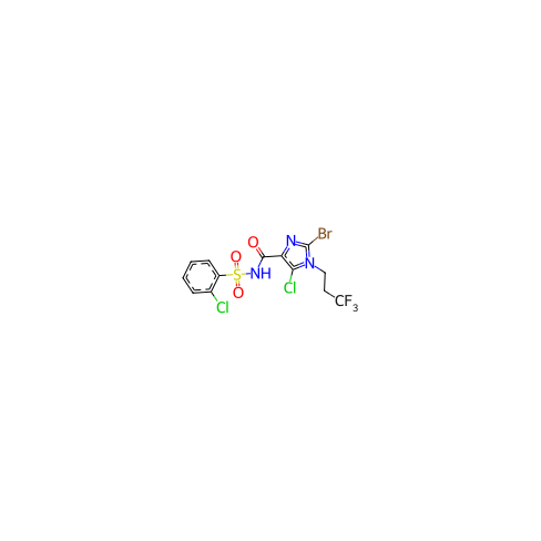 O=C(NS(=O)(=O)c1ccccc1Cl)c1nc(Br)n(CCC(F)(F)F)c1Cl